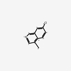 Cc1cncc2cc(Cl)ccc12